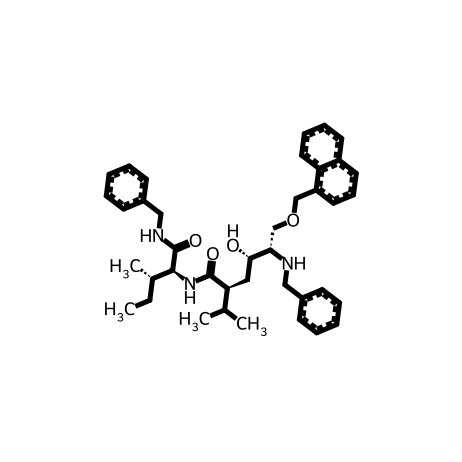 CC[C@H](C)[C@H](NC(=O)[C@@H](C[C@H](O)[C@H](COCc1cccc2ccccc12)NCc1ccccc1)C(C)C)C(=O)NCc1ccccc1